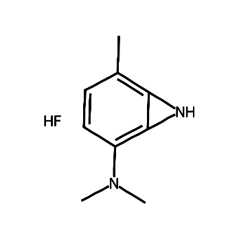 Cc1ccc(N(C)C)c2c1N2.F